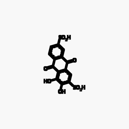 O=C1c2cc(S(=O)(=O)O)ccc2C(=O)c2c1cc(S(=O)(=O)O)c(O)c2O